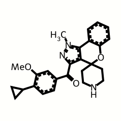 COc1cc(C(=O)c2nn(C)c3c2C2(CCNCC2)Oc2ccccc2-3)ccc1C1CC1